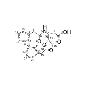 O=C(O)C[C@@H](NC(=O)Cc1ccccc1)C1=COC(Cc2ccccc2)O1